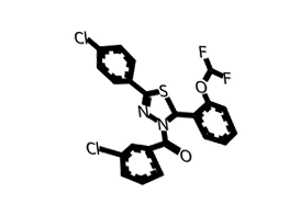 O=C(c1cccc(Cl)c1)N1N=C(c2ccc(Cl)cc2)SC1c1ccccc1OC(F)F